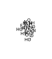 Nc1nc2c(ncn2[C@@H]2O[C@H](CO)C[C@H]2OP(=O)(S)OC[C@H]2O[C@H](n3nnc4c(=O)[nH]cnc43)[C@@H](F)[C@@H]2O)c(=O)[nH]1